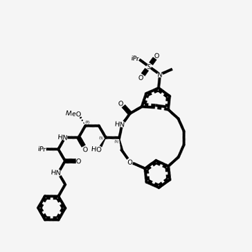 CO[C@H](C[C@H](O)[C@@H]1COc2cccc(c2)CCCCc2cc(cc(N(C)S(=O)(=O)C(C)C)c2)C(=O)N1)C(=O)NC(C(=O)NCc1ccccc1)C(C)C